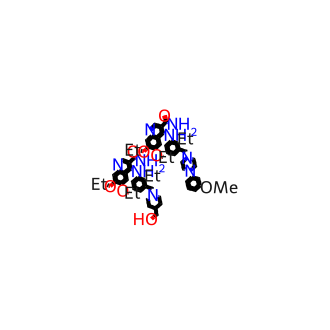 CCOc1cc2ncc(C(N)=O)c(Nc3cccc(CN4CCC(CO)CC4)c3CC)c2cc1OCC.CCOc1cc2ncc(C(N)=O)c(Nc3cccc(CN4CCN(c5cccc(OC)c5)CC4)c3CC)c2cc1OCC